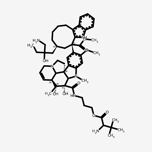 CCC(O)(CN)C[C@H]1CCCCc2c([nH]c3ccccc23)[C@@](C(=O)OC)(c2cc3c(cc2OC)N(C)C2[C@]34CCN3CC=C[C@](CC)(C34)[C@@H](O)[C@]2(O)C(=O)NCCCOC(=O)C(N)C(C)(C)C)C1